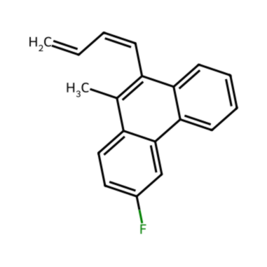 C=C/C=C\c1c(C)c2ccc(F)cc2c2ccccc12